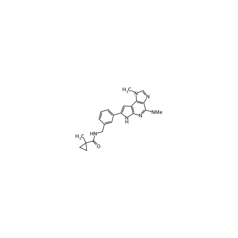 CNc1nc2[nH]c(-c3cccc(CNC(=O)C4(C)CC4)c3)cc2c2c1ncn2C